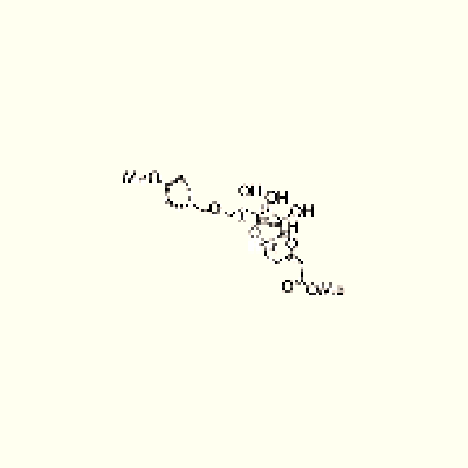 COC(=O)C[C@H]1CC[C@@H]2O[C@@H]([C@@H](O)COCc3ccc(OC)cc3)[C@@H](O)[C@@H](O)[C@H]2O1